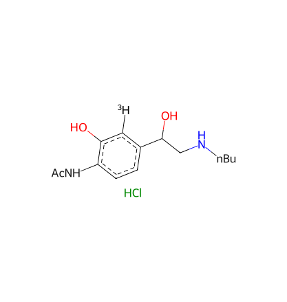 Cl.[3H]c1c(C(O)CNCCCC)ccc(NC(C)=O)c1O